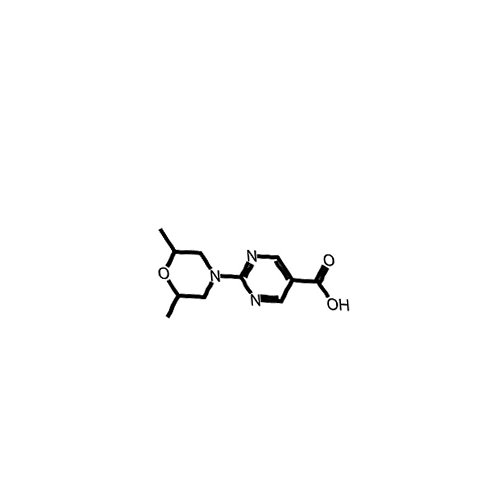 CC1CN(c2ncc(C(=O)O)cn2)CC(C)O1